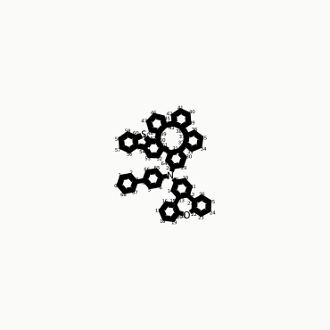 c1ccc(-c2ccc(N(c3ccc4c(c3)-c3ccccc3Oc3ccccc3-4)c3ccc4c5ccccc5c5ccccc5c5ccccc5c5c(ccc6c7ccccc7sc65)c4c3)cc2)cc1